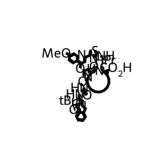 COc1ccc2c(O[C@@H]3C[C@H]4C(=O)N[C@]5(C(=O)O)CC5CCCCCCC[C@H](NC(=O)NC(CN5Cc6ccccc6S5(=O)=O)C(C)(C)C)C(=O)N4C3)cc(-c3csc(NC(C)C)n3)nc2c1